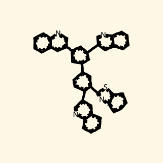 c1ccc2ncc(-c3cc(-c4ccc(-c5cnc6ccccc6c5)c(-c5nc6ccccc6s5)c4)cc(-c4cnc5ccccc5c4)c3)cc2c1